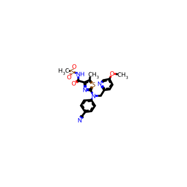 COc1ccc(CN(c2ccc(C#N)cc2)c2nc(C(=O)NS(C)(=O)=O)c(C)s2)nc1